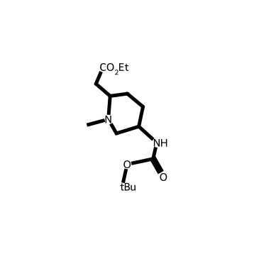 CCOC(=O)CC1CCC(NC(=O)OC(C)(C)C)CN1C